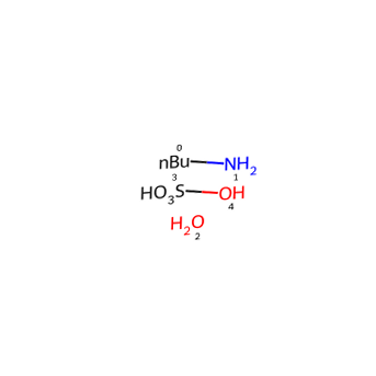 CCCCN.O.O=S(=O)(O)O